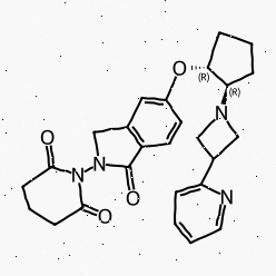 O=C1c2ccc(O[C@@H]3CCC[C@H]3N3CC(c4ccccn4)C3)cc2CN1N1C(=O)CCCC1=O